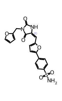 NS(=O)(=O)c1ccc(-c2ccc(/C=C3/NC(=O)N(Cc4ccco4)C3=O)o2)cc1